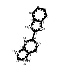 c1ccc2sc(-c3ncc4[nH]cnc4n3)nc2c1